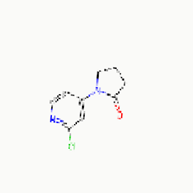 O=C1CCCN1c1ccnc(Cl)c1